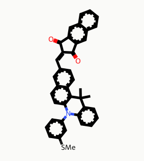 CSc1cccc(N2c3ccccc3C(C)(C)c3c2ccc2cc(C=C4C(=O)c5cc6ccccc6cc5C4=O)ccc32)c1